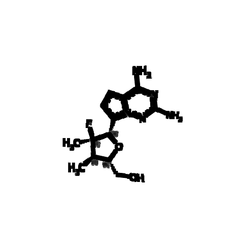 C[C@@H]1[C@@H](CO)O[C@@H](c2ccc3c(N)nc(N)nn23)[C@]1(C)F